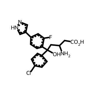 NC(CC(=O)O)CC(O)(c1ccc(Cl)cc1)c1ccc(-c2cn[nH]c2)cc1F